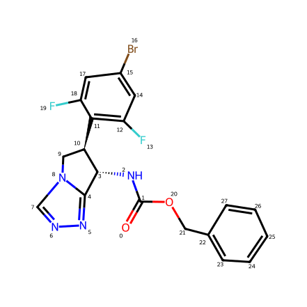 O=C(N[C@@H]1c2nncn2C[C@H]1c1c(F)cc(Br)cc1F)OCc1ccccc1